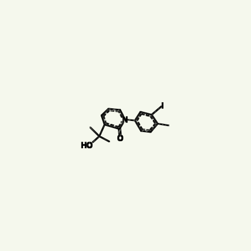 Cc1ccc(-n2cccc(C(C)(C)O)c2=O)cc1I